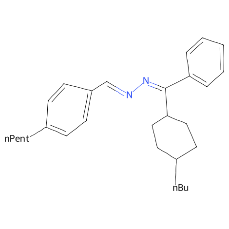 CCCCCc1ccc(C=NN=C(c2ccccc2)C2CCC(CCCC)CC2)cc1